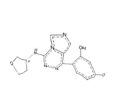 Oc1cc(Cl)ccc1-c1nnc(N[C@@H]2CCOC2)n2cncc12